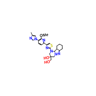 COc1nc(-c2csc(N3CC(O)(CO)CN4N=C5CCCCC5C43)n2)ccc1-n1cnc(C)c1